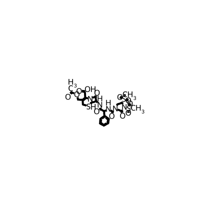 CC(=O)OCC1=C(C(=O)O)N2C(=O)C(NC(=O)C(NC(=O)N3CC(S(C)(=O)=O)N(S(C)(=O)=O)C3=O)c3ccccc3)[C@@H]2SC1